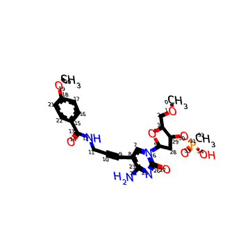 COCC1OC(n2cc(C#CCNC(=O)c3ccc(OC)cc3)c(N)nc2=O)CC1OP(C)(=O)O